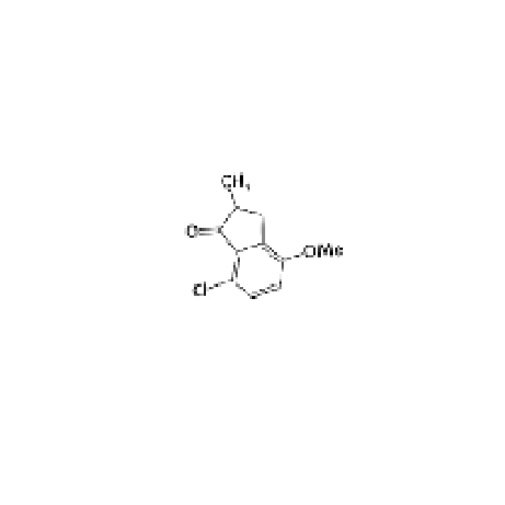 COc1ccc(Cl)c2c1CC(C)C2=O